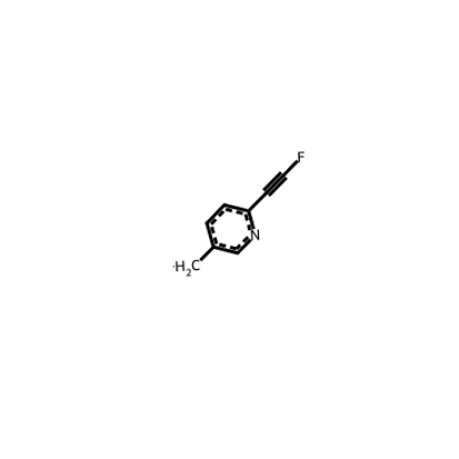 [CH2]c1ccc(C#CF)nc1